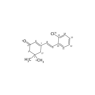 CC1(C)CC(=O)C=C(C=Cc2ccccc2Cl)C1